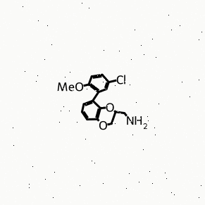 COc1ccc(Cl)cc1-c1cccc2c1OC(CN)CO2